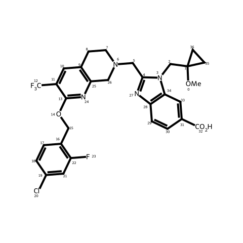 COC1(Cn2c(CN3CCc4cc(C(F)(F)F)c(OCc5ccc(Cl)cc5F)nc4C3)nc3ccc(C(=O)O)cc32)CC1